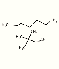 CCCCCCC.COC(C)(C)C